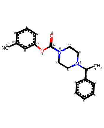 CC(c1ccccc1)N1CCN(C(=O)Oc2cccc(C#N)c2)CC1